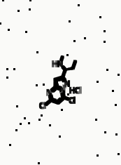 CC[C@H](NC)c1cc2nc(Cl)cc(Cl)n2n1.Cl